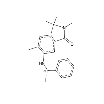 Cc1cc2c(cc1N[C@@H](C)c1ccccc1)C(=O)N(C)C2(C)C